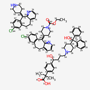 CC(C)(C(=O)O)c1ccc(C(O)CCCN2CCC(C(O)(c3ccccc3)c3ccccc3)CC2)cc1.CCOC(=O)N1CCC(=C2c3ccc(Cl)cc3CCc3cccnc32)CC1.Clc1ccc2c(c1)CCc1cccnc1C2=C1CCNCC1